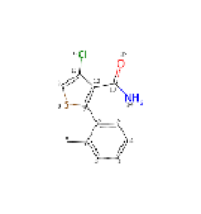 Cc1ccccc1-c1scc(Cl)c1C(N)=O